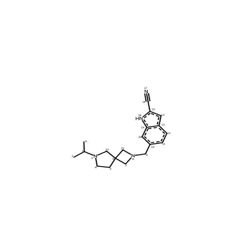 CC(C)N1CCC2(CN(Cc3ccc4cc(C#N)[nH]c4c3)C2)C1